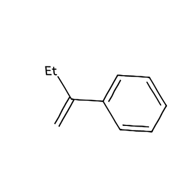 [CH2]CC(=C)c1ccccc1